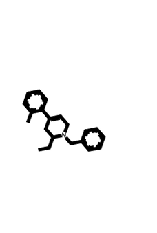 CCC1CC(c2ccccc2C)=CCN1Cc1ccccc1